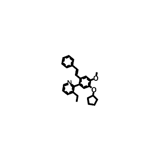 CCc1cccnc1-c1cc(OC2CCCC2)c(OC)cc1/C=C/c1ccccc1